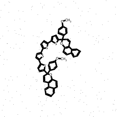 COc1ccc(C2(c3ccc(-c4ccc(-c5ccc(-c6ccc(C7(c8ccc(OC)cc8)C=Cc8c(ccc9ccccc89)O7)s6)s5)s4)s3)C=Cc3c(ccc4ccccc34)O2)cc1